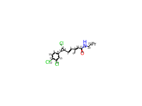 CC(/C=C/C1[C@@H](Cl)[C@@H]1c1ccc(Cl)c(Cl)c1)=C\C(=O)NCC(C)C